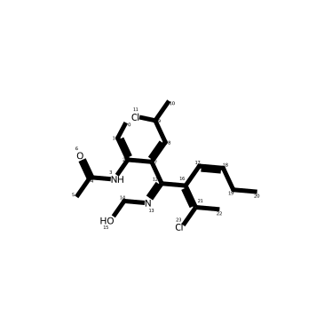 C\C=C(NC(C)=O)/C(=C\C(C)Cl)C(=N\CO)/C(/C=C\CC)=C(C)Cl